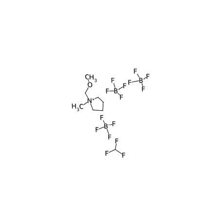 COC[N+]1(C)CCCC1.FC(F)F.F[B-](F)(F)F.F[B-](F)(F)F.F[B-](F)(F)F